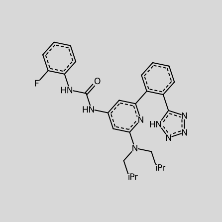 CC(C)CN(CC(C)C)c1cc(NC(=O)Nc2ccccc2F)cc(-c2ccccc2-c2nnn[nH]2)n1